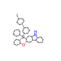 Ic1ccc(-c2cccc([Si]3(c4ccccc4)c4ccccc4Oc4cc5c(cc43)[nH]c3ccccc35)c2)cc1